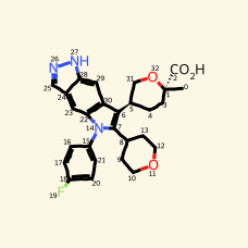 C[C@@]1(C(=O)O)CC[C@@H](c2c(C3CCOCC3)n(-c3ccc(F)cc3)c3cc4cn[nH]c4cc23)CO1